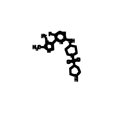 Cc1ncc(-c2nc(NC3CCN(S(=O)(=O)C4CCNCC4)CC3)ncc2F)n1C(C)C